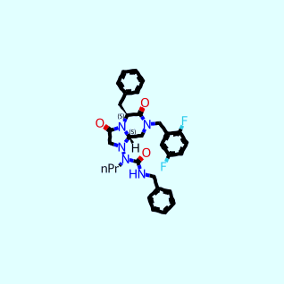 CCCN(C(=O)NCc1ccccc1)N1CC(=O)N2[C@@H](Cc3ccccc3)C(=O)N(Cc3cc(F)ccc3F)C[C@@H]21